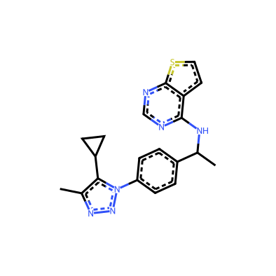 Cc1nnn(-c2ccc(C(C)Nc3ncnc4sccc34)cc2)c1C1CC1